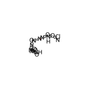 CC1(C)[C@H](NC(=O)c2ccc(N3CC4CC3CN4C3CC4(CCN(C(=O)C5CCN(c6ccc7nnn(C8CCC(=O)NC8=O)c(=O)c7c6)CC5)CC4)C3)cc2)C(C)(C)[C@H]1Oc1ccc(C#N)c(Cl)c1